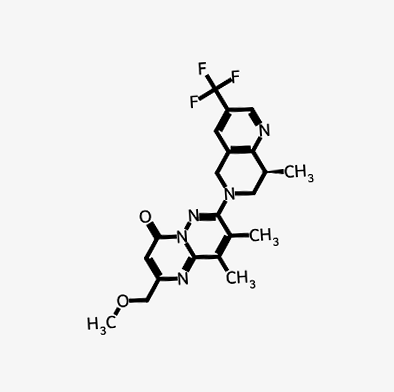 COCc1cc(=O)n2nc(N3Cc4cc(C(F)(F)F)cnc4[C@@H](C)C3)c(C)c(C)c2n1